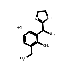 CCc1cccc(C(N)C2=NCCN2)c1C.Cl